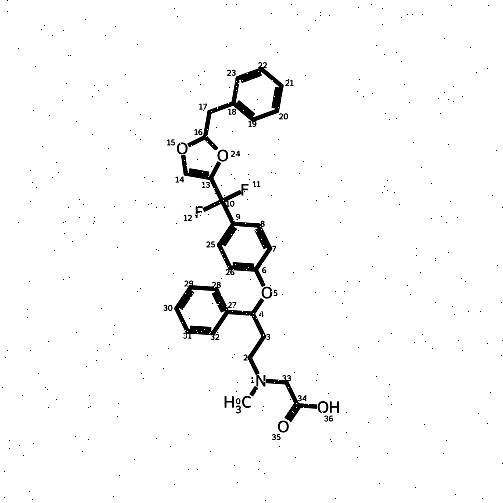 CN(CCC(Oc1ccc(C(F)(F)C2=COC(Cc3ccccc3)O2)cc1)c1ccccc1)CC(=O)O